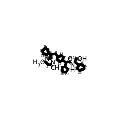 Cc1cc(C)n2c(n1)c(Cc1ccc(C(C(=O)NC(CO)c3ccccc3)C3CCCC3)cc1)c1ccccc12